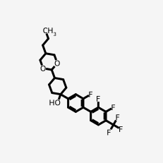 CCCC1COC(C2CCC(O)(c3ccc(-c4ccc(C(F)(F)F)c(F)c4F)c(F)c3)CC2)OC1